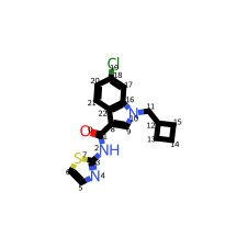 O=C(Nc1nccs1)c1cn(CC2CCC2)c2cc(Cl)ccc12